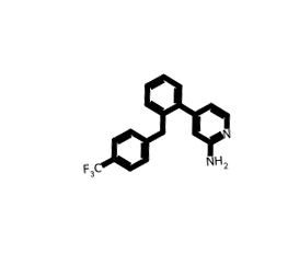 Nc1cc(-c2ccccc2Cc2ccc(C(F)(F)F)cc2)ccn1